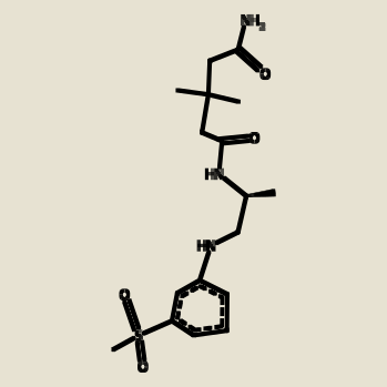 C[C@@H](CNc1cccc(S(C)(=O)=O)c1)NC(=O)CC(C)(C)CC(N)=O